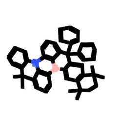 CC1(C)CCC(C)(C)c2cc3c(cc21)B1c2cccc4c2N(c2ccccc2C4(C)C)c2cccc(c21)C3(c1ccccc1)c1ccccc1